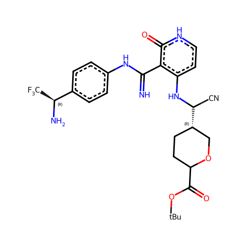 CC(C)(C)OC(=O)C1CC[C@H](C(C#N)Nc2cc[nH]c(=O)c2C(=N)Nc2ccc([C@@H](N)C(F)(F)F)cc2)CO1